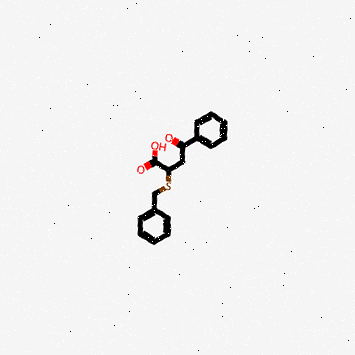 O=C(CC(SCc1ccccc1)C(=O)O)c1ccccc1